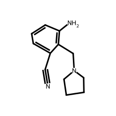 N#Cc1cccc(N)c1CN1CCCC1